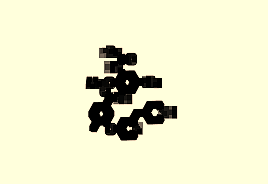 CCCCC(=O)Nc1cc(C(C)(C)C)cc(NC(=O)c2ccc(C)c(Oc3ccnc(CC4CCNCC4)c3)c2)c1OC